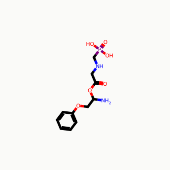 NC(COc1ccccc1)OC(=O)CNCP(=O)(O)O